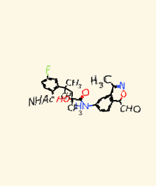 CC(=O)Nc1ccc(F)cc1C(C)(C)CC(O)(C(=O)Nc1ccc2c(c1)C(C)=NOC2C=O)C(F)(F)F